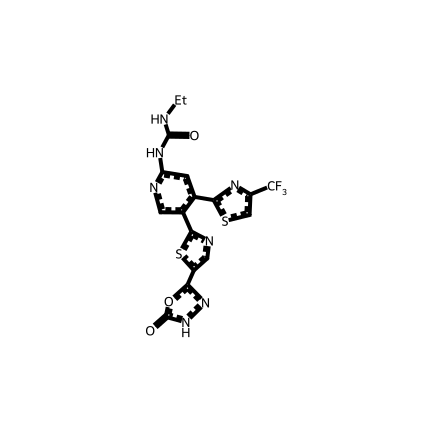 CCNC(=O)Nc1cc(-c2nc(C(F)(F)F)cs2)c(-c2ncc(-c3n[nH]c(=O)o3)s2)cn1